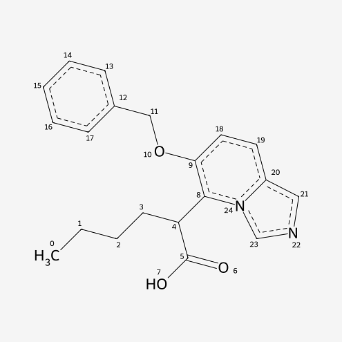 CCCCC(C(=O)O)c1c(OCc2ccccc2)ccc2cncn12